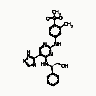 Cc1cc(Nc2ncc(-c3ncn[nH]3)c(N[C@H](CO)c3ccccc3)n2)ccc1S(C)(=O)=O